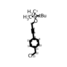 CC(C)(C)[Si](C)(C)OCC#Cc1ccc(CCl)cc1